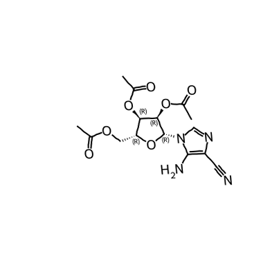 CC(=O)OC[C@H]1O[C@@H](n2cnc(C#N)c2N)[C@H](OC(C)=O)[C@@H]1OC(C)=O